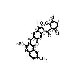 CCCCc1nc2ccc(C)cc2c(=O)n1Cc1ccc2c(ccn2C(=O)c2c(Cl)ccc(Cl)c2C(=O)O)c1